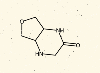 O=C1CNC2COCC2N1